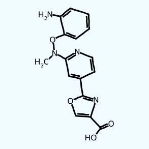 CN(Oc1ccccc1N)c1cc(-c2nc(C(=O)O)co2)ccn1